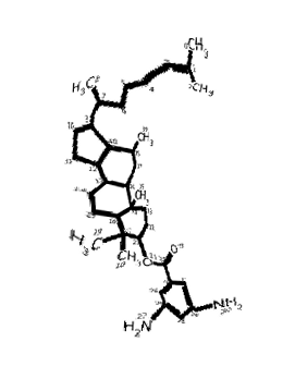 CC(C)=CCCCC(C)C1CCC2C3CCC4C(C)(C)C(OC(=O)c5cc(N)cc(N)c5)CCC4(C)C3CC(C)C12